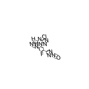 C[C@H]1CN(c2cc(F)c(-c3cnc(N4CCOCC4)nc3)cc2Nc2ncnc(Cl)c2N)CCN1C